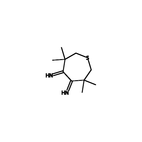 CC1(C)CSCC(C)(C)C(=N)C1=N